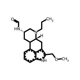 CCCN1C[C@@H](NC=O)CC2c3cccc4[nH]c(COC)c(c34)C[C@H]21